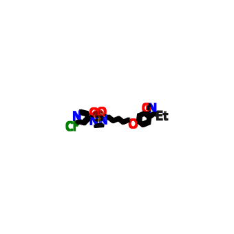 CCc1noc2cc(OCCCCCN3CCN(c4ccnc(Cl)c4)S3(=O)=O)ccc12